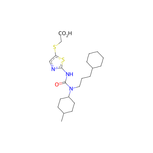 CC1CCC(N(CCCC2CCCCC2)C(=O)Nc2ncc(SCC(=O)O)s2)CC1